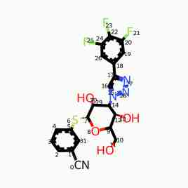 N#Cc1cccc(S[C@H]2OC(CO)[C@H](O)C(n3cc(-c4cc(F)c(F)c(F)c4)nn3)C2O)c1